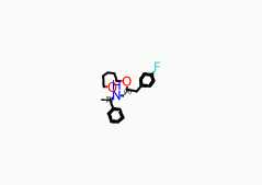 C[C@@H](NC[C@@H](Cc1ccc(F)cc1)OC1CCCCO1)c1ccccc1